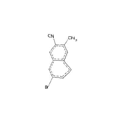 [C-]#[N+]c1cc2cc(Br)ccc2cc1C